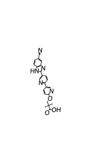 CC(C)(COc1ccc(-c2ccc(-c3nc4cc(C#N)ccc4[nH]3)cn2)cn1)C(=O)O